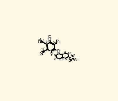 N#Cc1c(F)c(F)c(Oc2cccc3cc(S(=O)(=O)O)ccc23)c(F)c1C#N